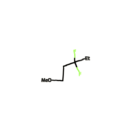 CCC(F)(F)CCOC